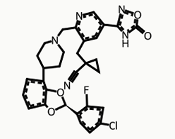 N#CC1(Cc2cc(-c3noc(=O)[nH]3)cnc2CN2CCC(c3cccc4c3O[C@@H](c3ccc(Cl)cc3F)O4)CC2)CC1